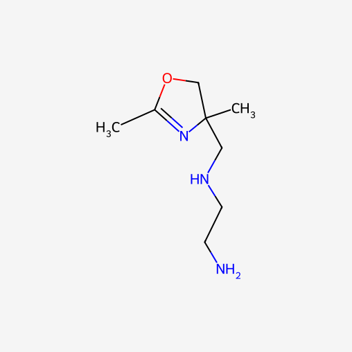 CC1=NC(C)(CNCCN)CO1